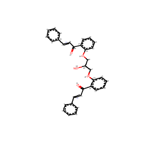 O=C(/C=C/c1ccccc1)c1ccccc1OCC(O)COc1ccccc1C(=O)/C=C/c1ccccc1